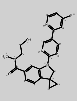 CN(CCO)C(=O)c1ccc2c(c1)N(c1ncc(-c3cc(F)ccn3)cn1)CC21CC1